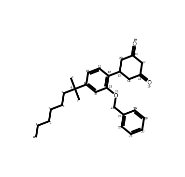 CCCCCCC(C)(C)c1ccc(C2CC(=O)CC(=O)C2)c(OCc2ccccc2)c1